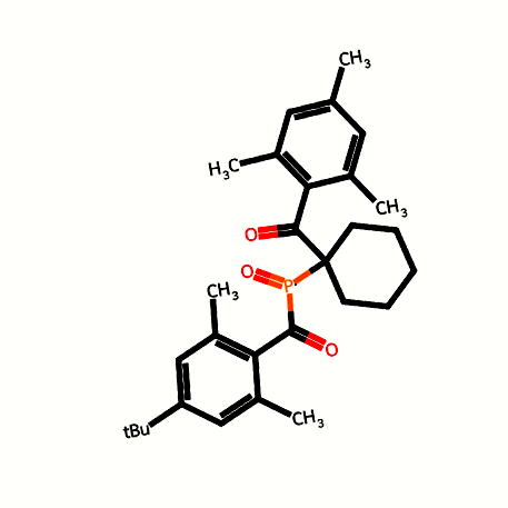 Cc1cc(C)c(C(=O)C2([P](=O)C(=O)c3c(C)cc(C(C)(C)C)cc3C)CCCCC2)c(C)c1